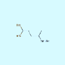 [CH2]C(CCC(S)S)NC(C)=O